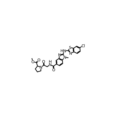 COC(=O)C1CCCN1C(=O)CNC(=O)c1ccc2c(c1)nc(Nc1nc3ccc(Cl)cc3s1)n2C